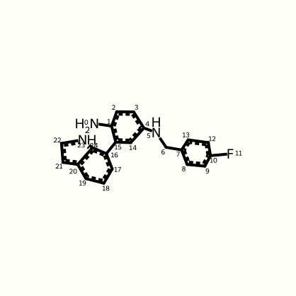 Nc1ccc(NCc2ccc(F)cc2)cc1-c1cccc2cc[nH]c12